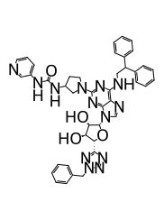 O=C(Nc1cccnc1)NC1CCN(c2nc(NCC(c3ccccc3)c3ccccc3)c3ncn([C@@H]4O[C@H](c5nnn(Cc6ccccc6)n5)[C@@H](O)[C@H]4O)c3n2)C1